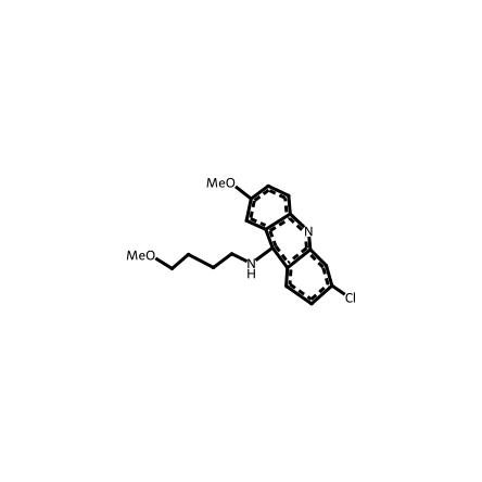 COCCCCNc1c2ccc(Cl)cc2nc2ccc(OC)cc12